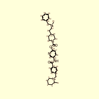 CC1CCCCN1Cc1ccc(C(=O)Nc2ccc(OC(=O)N3CCC(CCN(C)Cc4ccccc4)CC3)nc2)cc1